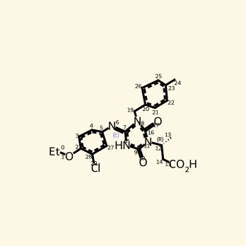 CCOc1ccc(/N=c2\[nH]c(=O)n([C@H](C)CC(=O)O)c(=O)n2Cc2ccc(C)cc2)cc1Cl